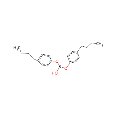 CCCCc1ccc(OB(O)Oc2ccc(CCCC)cc2)cc1